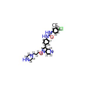 O=C(Nc1ccc(-c2cn(OCCCN3CCNCC3)c3ccncc23)cc1)Nc1ccc(Cl)c(C(F)(F)F)c1